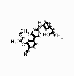 COC[C@H](C)Oc1cc(-c2cnc(Nc3cnn(CC(C)O)c3)nc2)ccc1C#N